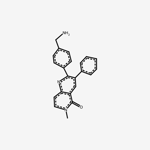 Cn1ccc2nc(-c3ccc(CN)cc3)c(-c3ccccc3)cc2c1=O